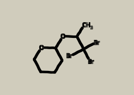 CC(OC1CCCCO1)C(Br)(Br)Br